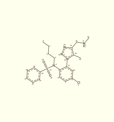 CCCCN(c1ccc(Cl)cc1-n1nnc(CNC)c1C)S(=O)(=O)c1ccccc1